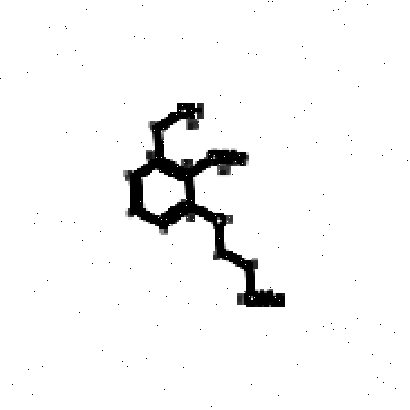 COCCOc1cccc([CH]O)c1OC